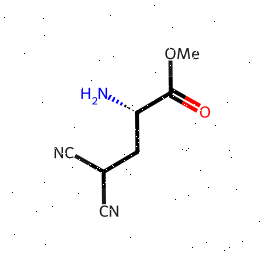 COC(=O)[C@@H](N)CC(C#N)C#N